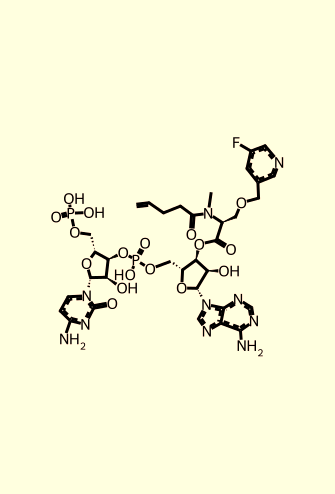 C=CCCC(=O)N(C)[C@@H](COCc1cncc(F)c1)C(=O)O[C@H]1[C@@H](O)[C@H](n2cnc3c(N)ncnc32)O[C@@H]1COP(=O)(O)O[C@H]1[C@@H](O)[C@H](n2ccc(N)nc2=O)O[C@@H]1COP(=O)(O)O